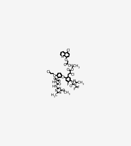 CCOC(=O)C(Cl)Cc1cc(-n2nc(C)n(C(F)F)c2=O)c(F)cc1Cl.COc1nc(C)nc(NC(=O)NS(=O)(=O)c2ccccc2OCCCl)n1.O=C(O)COc1ccc(Cl)c2cccnc12